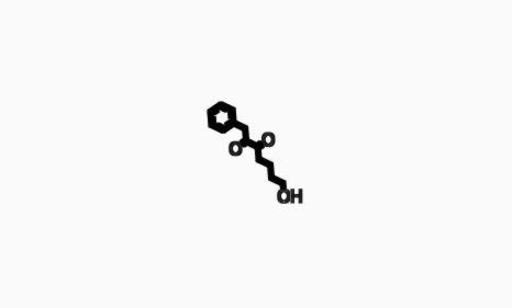 O=C(CCCCO)C(=O)Cc1ccccc1